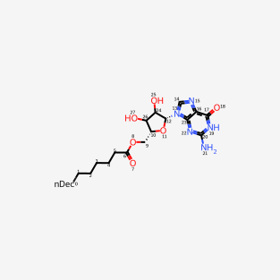 CCCCCCCCCCCCCCCC(=O)OC[C@H]1O[C@@H](n2cnc3c(=O)[nH]c(N)nc32)C(O)C1O